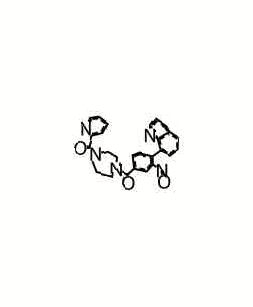 O=Nc1cc(C(=O)N2CCCN(C(=O)c3ccccn3)CC2)ccc1-c1cccc2cccnc12